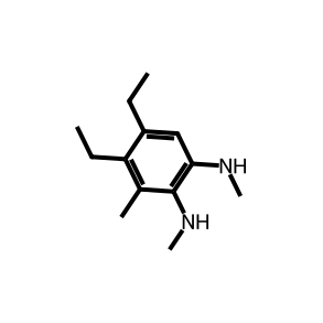 CCc1cc(NC)c(NC)c(C)c1CC